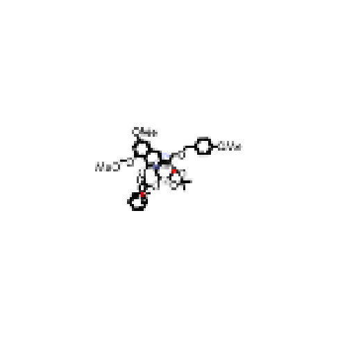 COCOc1cc(OC)cc(/C=C/C[C@@H]2OC(C)(C)O[C@@H]2C(/C=C\[C@H](C)COCc2ccc(OC)cc2)OC(=O)c2ccccc2)c1C(=O)OCC[Si](C)(C)C